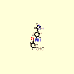 O=Cc1cccc(C(=O)Nc2ccc(-c3ccn[nH]3)cc2)c1